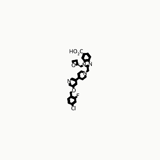 O=C(O)c1ccc2nc(CN3CC=C(c4cncc(OCc5ccc(Cl)cc5F)c4)CC3)n(C[C@@H]3CCO3)c2c1